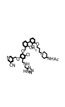 CC(=O)NC1CCN(CCCOc2cccc(-c3cccc(COc4cc(OCc5cncc(C#N)c5)c(CNCc5nnn[nH]5)cc4Cl)c3C)c2Cl)CC1